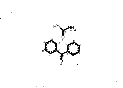 NC(=O)O.O=C(c1ccccc1)c1ccccc1